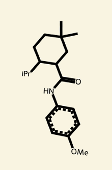 COc1ccc(NC(=O)C2CC(C)(C)CCC2C(C)C)cc1